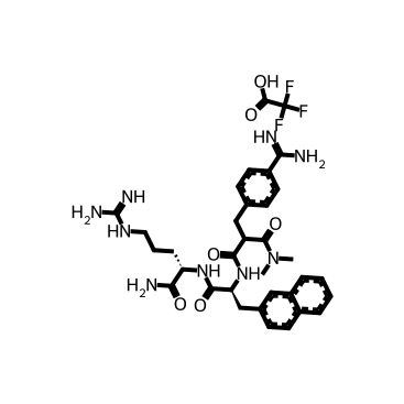 CN(C)C(=O)C(Cc1ccc(C(=N)N)cc1)C(=O)N[C@@H](Cc1ccc2ccccc2c1)C(=O)N[C@@H](CCCNC(=N)N)C(N)=O.O=C(O)C(F)(F)F